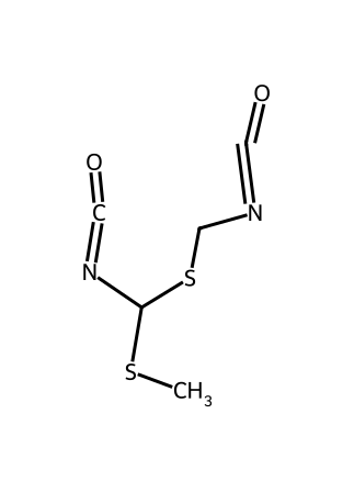 CSC(N=C=O)SCN=C=O